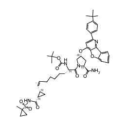 CC(C)(C)OC(=O)N[C@@H](CCCCC/C=C\[C@@H]1C[C@@H]1C(=O)NS(=O)(=O)C1(C)CC1)C(=O)N1C[C@H](Oc2cc(-c3ccc(C(C)(C)C)cc3)nc3c2oc2ccccc23)C[C@H]1C(N)=O